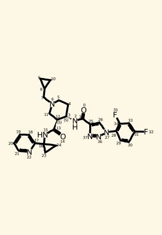 O=C(N[C@H]1CCN(CC2CC2)C[C@@H]1C(=O)NC1(c2ccccn2)CC1)c1cn(-c2ccc(F)cc2F)nn1